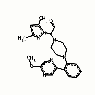 COc1cnc(-c2ccccc2N2CCN(C(C=O)n3nc(C)cc3C)CC2)cn1